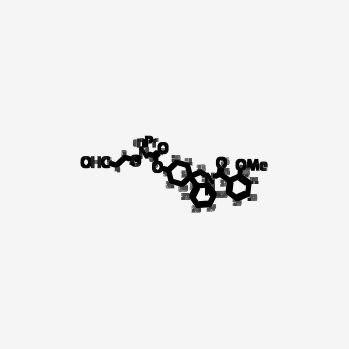 CCCN(OCCC=O)C(=O)OC1CCC(CNC(=O)c2ccccc2OC)(c2ccccc2)CC1